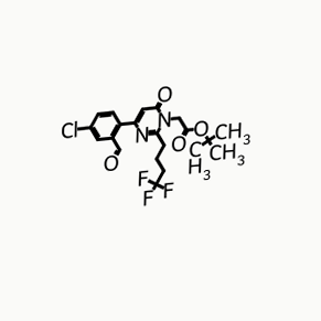 CC(C)(C)OC(=O)Cn1c(CCCC(F)(F)F)nc(-c2ccc(Cl)cc2C=O)cc1=O